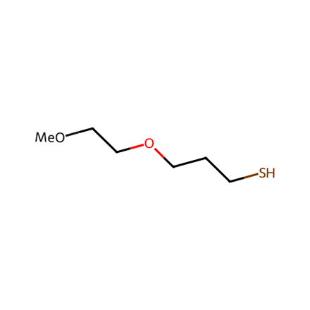 COCCOCCCS